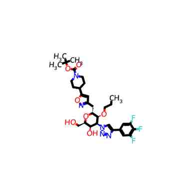 CCCO[C@@H]1[C@@H](n2cc(-c3cc(F)c(F)c(F)c3)nn2)[C@@H](O)[C@@H](CO)O[C@@H]1Cc1cc(C2CCN(C(=O)OC(C)(C)C)CC2)on1